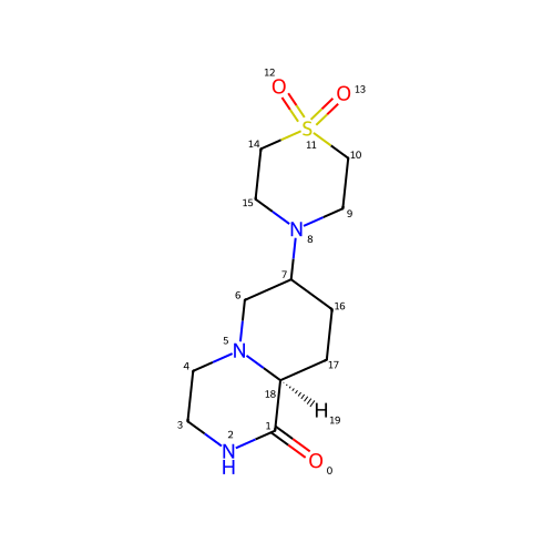 O=C1NCCN2CC(N3CCS(=O)(=O)CC3)CC[C@@H]12